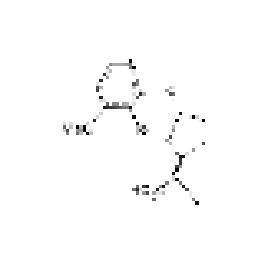 COc1ccnc(O[C@@H]2CC[C@@H](N(C)C(=O)O)C2)c1Br